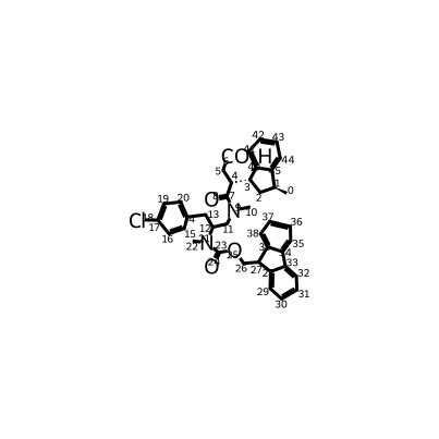 C[C@H]1C[C@H](C(CC(=O)O)C(=O)N(C)CC(Cc2ccc(Cl)cc2)N(C)C(=O)OCC2c3ccccc3-c3ccccc32)c2ccccc21